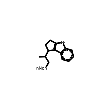 CCCCCCCCCCC(C)C1CCC2=C1c1ccccc1[N]2